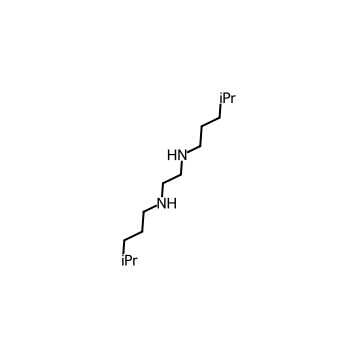 CC(C)CCCNCCNCCCC(C)C